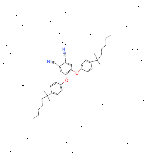 CCCCCC(C)(C)c1ccc(Oc2cc(C#N)c(C#N)cc2Oc2ccc(C(C)(C)CCCCC)cc2)cc1